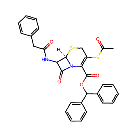 CC(=O)SC1=C(C(=O)OC(c2ccccc2)c2ccccc2)N2C(=O)C(NC(=O)Cc3ccccc3)[C@H]2SC1